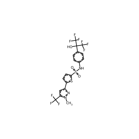 Cn1nc(-c2ccc(S(=O)(=O)Nc3ccc(C(O)(C(F)(F)F)C(F)(F)F)cc3)s2)cc1C(F)(F)F